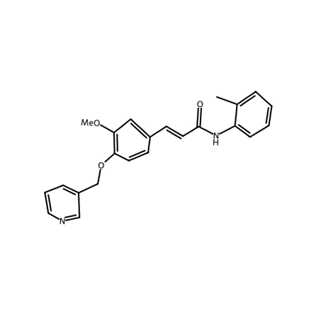 COc1cc(/C=C/C(=O)Nc2ccccc2C)ccc1OCc1cccnc1